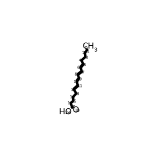 CCCCCC=CC=CC=CC=CCCCCC(=O)O